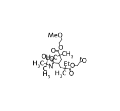 CCC(C)(CC(CC(C)(C)C(=O)OCCOC)C1=NC(C)(C)C(=O)O1)C(=O)OCC1CO1